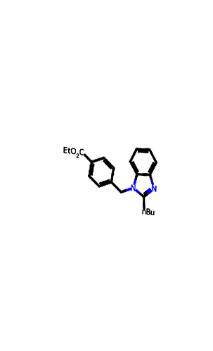 CCCCc1nc2ccccc2n1Cc1ccc(C(=O)OCC)cc1